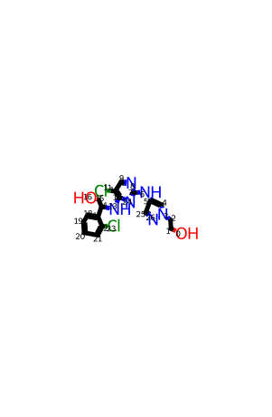 OCCn1cc(Nc2ncc(Cl)c(NC(CO)c3ccccc3Cl)n2)cn1